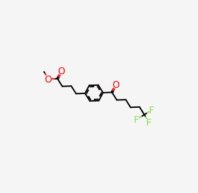 COC(=O)CCCc1ccc(C(=O)CCCCC(F)(F)F)cc1